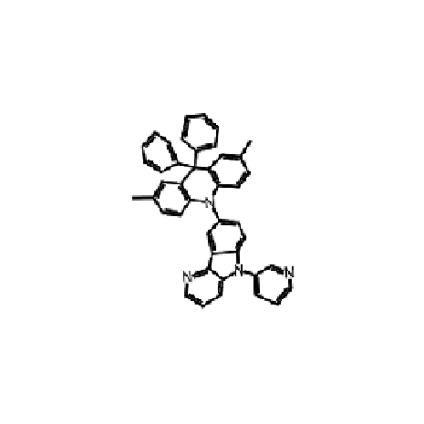 Cc1ccc2c(c1)C(c1ccccc1)(c1ccccc1)c1cc(C)ccc1N2c1ccc2c(c1)c1ncccc1n2-c1cccnc1